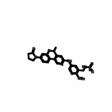 COc1ncc(Nc2cc3c(cn2)-c2ccc(N4CCCC4=O)cc2OC3C)cc1CN[SH](=O)=O